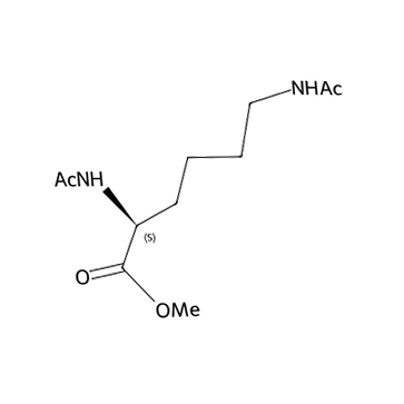 COC(=O)[C@H](CCCCNC(C)=O)NC(C)=O